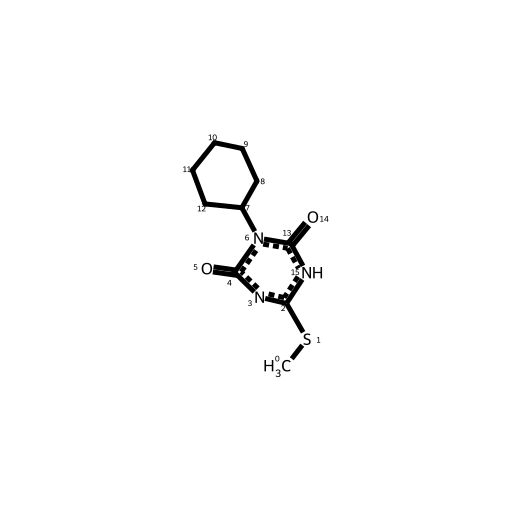 CSc1nc(=O)n(C2CCCCC2)c(=O)[nH]1